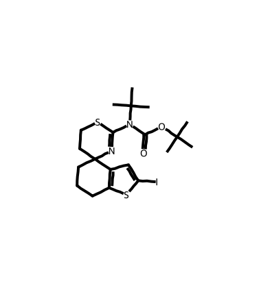 CC(C)(C)OC(=O)N(C1=NC2(CCCc3sc(I)cc32)CCS1)C(C)(C)C